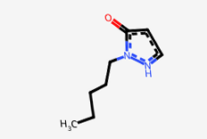 CCCCCn1[nH]ccc1=O